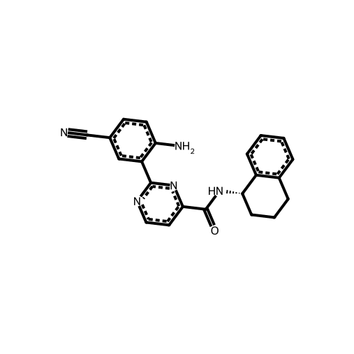 N#Cc1ccc(N)c(-c2nccc(C(=O)N[C@H]3CCCc4ccccc43)n2)c1